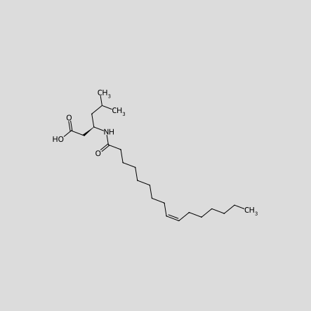 CCCCCC/C=C\CCCCCCCC(=O)N[C@@H](CC(=O)O)CC(C)C